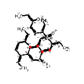 CC=C(/C=C\C(=C/C)OC(/C=C\C(=C/C)S(=O)(=O)C(/C=C\C(O)=C/C)=C/C)=C/C)C(/C=C\C(=C/C)CC)=C/C